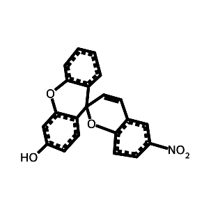 O=[N+]([O-])c1ccc2c(c1)C=CC1(O2)c2ccccc2Oc2cc(O)ccc21